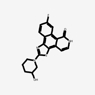 O=c1[nH]ccc2c3sc(N4CCCC(O)C4)nc3c3ccc(F)cc3c12